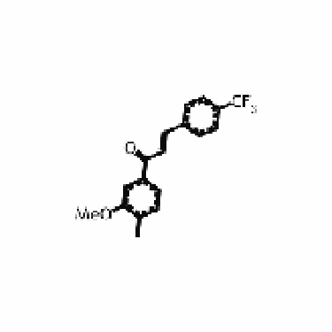 COc1cc(C(=O)/C=C/c2ccc(C(F)(F)F)cc2)ccc1C